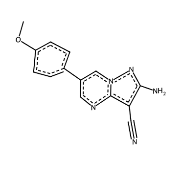 COc1ccc(-c2cnc3c(C#N)c(N)nn3c2)cc1